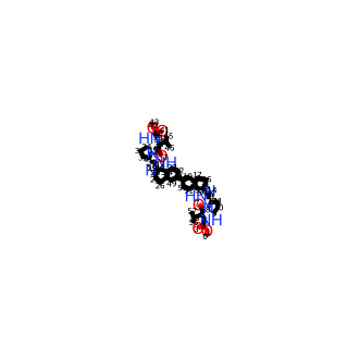 COC(=O)NC(C(=O)N1CCC[C@H]1c1nc2ccc3cc(-c4ccc5c(ccc6nc([C@@H]7CCCN7C(=O)[C@@H](NC(=O)OC)C(C)C)[nH]c65)c4)ccc3c2[nH]1)C(C)C